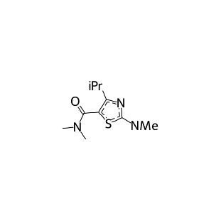 CNc1nc(C(C)C)c(C(=O)N(C)C)s1